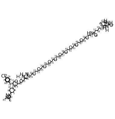 Cc1cc(C2CCC(N3C[C@H](COC/C(N)=C/N(N)CCOCCOCCOCCOCCOCCOCCOCCOCCOCCOCCOCCNC(=O)CCCC[C@@H]4SC[C@@H]5NC(=O)N[C@@H]54)OC[C@@H]3Cc3ccc(Cl)cc3)CC2)nn1C